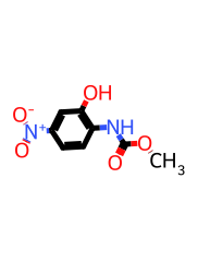 COC(=O)Nc1ccc([N+](=O)[O-])cc1O